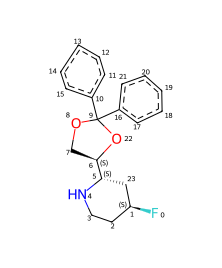 F[C@H]1CCN[C@H]([C@H]2COC(c3ccccc3)(c3ccccc3)O2)C1